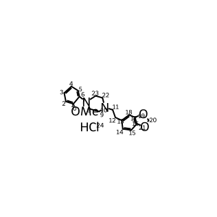 COc1ccccc1N1CCN(CCc2ccc3c(c2)OCO3)CC1.Cl